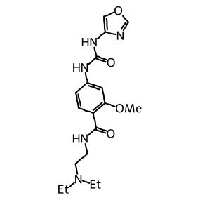 CCN(CC)CCNC(=O)c1ccc(NC(=O)Nc2cocn2)cc1OC